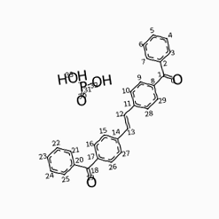 O=C(c1ccccc1)c1ccc(/C=C/c2ccc(C(=O)c3ccccc3)cc2)cc1.O=[PH](O)O